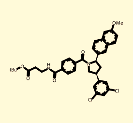 COc1ccc2cc([C@H]3C[C@@H](c4cc(Cl)cc(Cl)c4)CN3C(=O)c3ccc(C(=O)NCCC(=O)OC(C)(C)C)cc3)ccc2c1